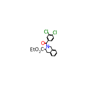 CCOC(=O)C1Cc2ccccc2CN1C(=O)c1ccc(Cl)c(Cl)c1